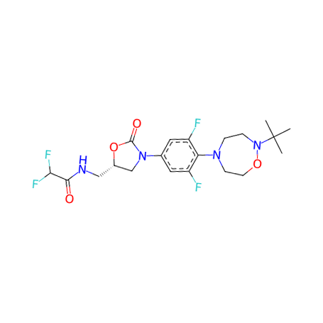 CC(C)(C)N1CCN(c2c(F)cc(N3C[C@H](CNC(=O)C(F)F)OC3=O)cc2F)CCO1